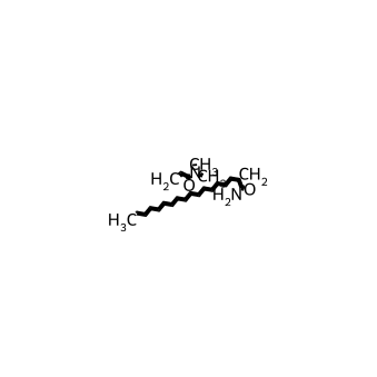 C=C(CCCCCCCCCCCCCCCC)C(N)=O.C=CC(=O)N(C)C